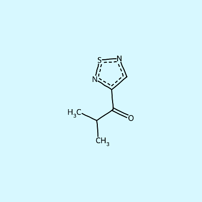 CC(C)C(=O)c1cnsn1